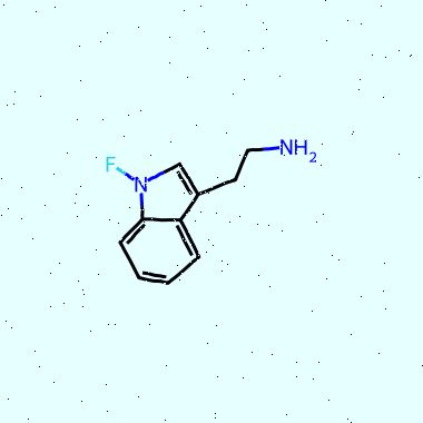 NCCc1cn(F)c2ccccc12